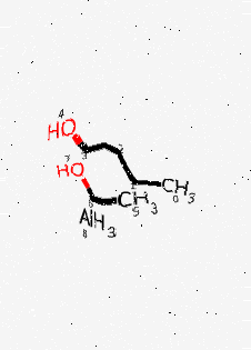 CCCCO.CCO.[AlH3]